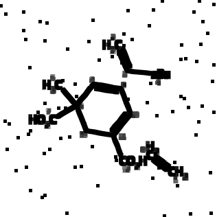 C=C.C=CCCCC.CC1(C(=O)O)C=CC=C(C(=O)O)C1